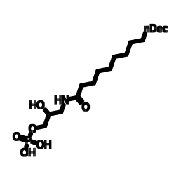 CCCCCCCCCCCCCCCCCCC(=O)NCC(O)COP(=O)(O)O